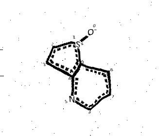 [O-][s+]1ccc2ncccc21